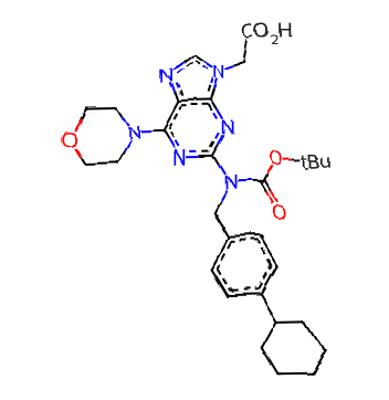 CC(C)(C)OC(=O)N(Cc1ccc(C2CCCCC2)cc1)c1nc(N2CCOCC2)c2ncn(CC(=O)O)c2n1